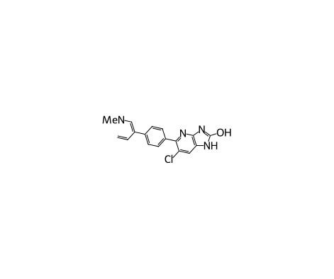 C=C/C(=C\NC)c1ccc(-c2nc3nc(O)[nH]c3cc2Cl)cc1